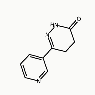 O=C1CCC(c2cccnc2)=NN1